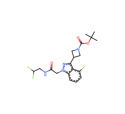 CC(C)(C)OC(=O)N1CC(c2nn(CC(=O)NCC(F)F)c3cccc(F)c23)C1